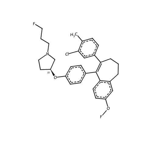 Cc1ccc(C2=C(c3ccc(O[C@H]4CCN(CCCF)C4)cc3)c3ccc(OF)cc3CCC2)cc1Cl